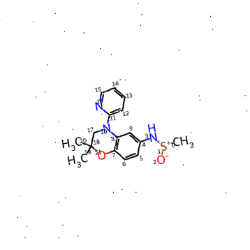 C[S+]([O-])Nc1ccc2c(c1)N(c1ccccn1)CC(C)(C)O2